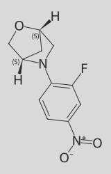 O=[N+]([O-])c1ccc(N2C[C@@H]3C[C@H]2CO3)c(F)c1